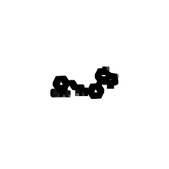 COc1ccccc1/C=C/CNc1cccc(-c2ccnc3[c]cnn23)c1